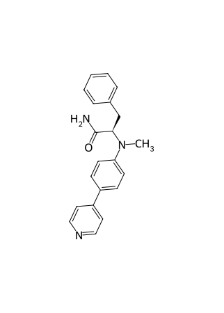 CN(c1ccc(-c2ccncc2)cc1)[C@H](Cc1ccccc1)C(N)=O